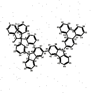 CC(c1ccccc1)C(c1ccccc1)(c1ccccc1)c1cccc(-n2c3ccccc3c3cc(-c4ccc5c(c4)c4ccccc4n5-c4ccc5c6ccccc6c6ccccc6c5c4)ccc32)c1